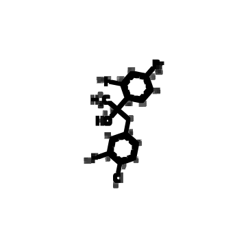 CC(O)(Cc1ccc(Cl)c(F)c1)c1ccc(Br)cc1F